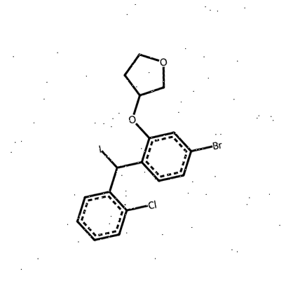 Clc1ccccc1C(I)c1ccc(Br)cc1OC1CCOC1